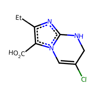 CCc1nc2n(c1C(=O)O)C=C(Cl)CN2